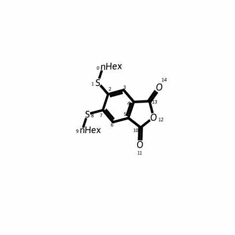 CCCCCCSc1cc2c(cc1SCCCCCC)C(=O)OC2=O